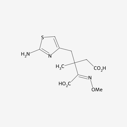 CON=C(C(=O)O)C(C)(CC(=O)O)Cc1csc(N)n1